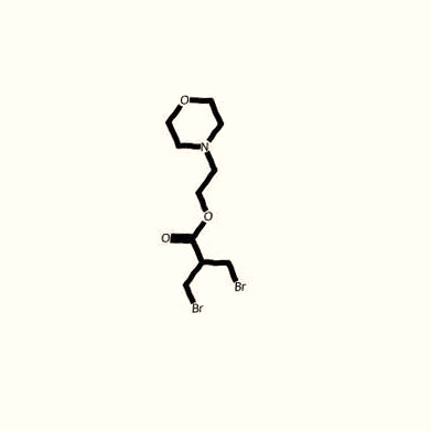 O=C(OCCN1CCOCC1)C(CBr)CBr